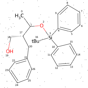 CC(O[Si](c1ccccc1)(c1ccccc1)C(C)(C)C)[C@@H](CO)Cc1ccccc1